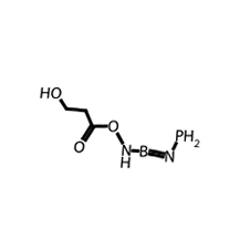 O=C(CCO)ON/B=N/P